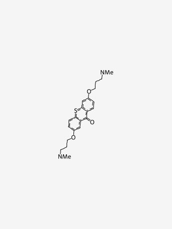 CNCCCOc1ccc2c(=O)c3cc(OCCCNC)ccc3sc2c1